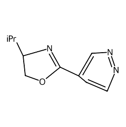 CC(C)C1COC(c2ccnnc2)=N1